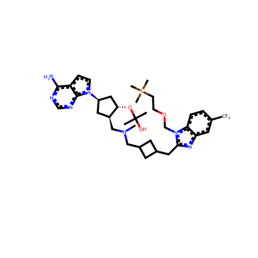 CN(CC1CC(Cc2nc3cc(C(F)(F)F)ccc3n2COCCS(C)(C)C)C1)C[C@H]1C[C@@H](n2ccc3c(N)ncnc32)C[C@@H]1OC(C)(C)O